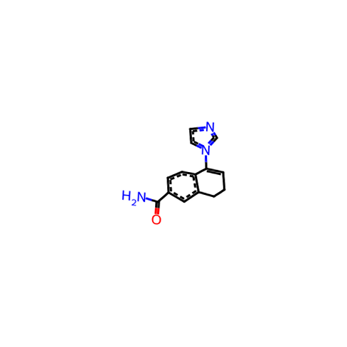 NC(=O)c1ccc2c(c1)CCC=C2n1ccnc1